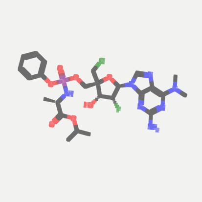 CC(C)OC(=O)[C@H](C)NP(=O)(OC[C@@]1(CCl)O[C@@H](n2cnc3c(N(C)C)nc(N)nc32)[C@H](F)[C@@H]1O)Oc1ccccc1